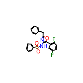 O=S(=O)(Nc1nc(Cc2ccccc2)oc1-c1cc(F)ccc1F)c1ccccc1